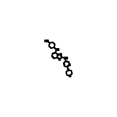 O[C@H]1CC[C@@H](Nc2cccc3nc(Nc4ccc(N5CCOCC5)nc4)nn23)CC1